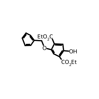 CCOC(=O)c1cc(OCc2ccccc2)c(C(=O)OCC)cc1O